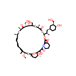 CO[C@H]1C[C@@H]2CC[C@@H](C)[C@@](O)(O2)C(=O)C(=O)N2CCCC[C@H]2C(=O)O[C@H]([C@H](C)C[C@@H]2CC[C@@H](O)[C@H](CO)C2)CC(=O)[C@H](C)CC(C)[C@@H](O)[C@@H](CO)C(=O)[C@H](C)C[C@H](C)/C=C/C=C/C=C/1C